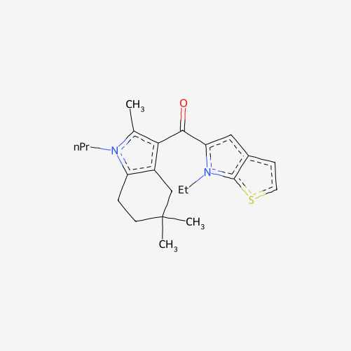 CCCn1c(C)c(C(=O)c2cc3ccsc3n2CC)c2c1CCC(C)(C)C2